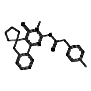 Cc1ccc(CC(=O)Sc2nc3c(c(=O)n2C)C2(CCCC2)Cc2ccccc2-3)cc1